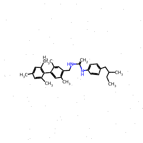 C=C(NCc1cc(C)c(-c2c(C)cc(C)cc2C)cc1C)Nc1ccc(CC(C)CC)cc1